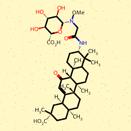 CON(CC(=O)N[C@H]1CC[C@@]2(C)C(CC[C@]3(C)[C@@H]2C(=O)C=C2[C@@H]4C[C@@](C)(C(=O)O)CC[C@]4(C)CC[C@]23C)C1(C)C)[C@@H]1O[C@H](C(=O)O)[C@@H](O)[C@H](O)[C@H]1O